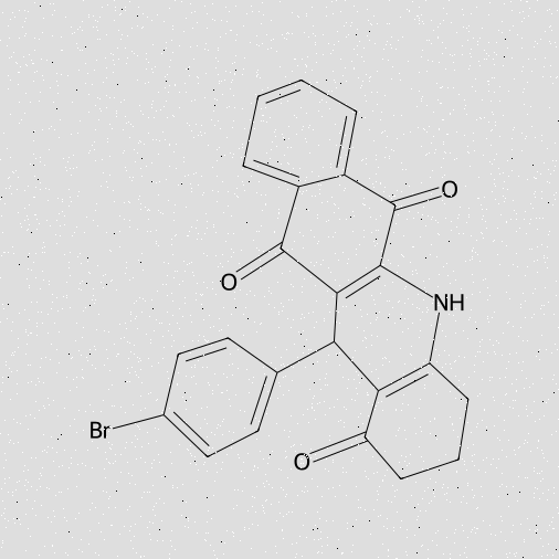 O=C1CCCC2=C1C(c1ccc(Br)cc1)C1=C(N2)C(=O)c2ccccc2C1=O